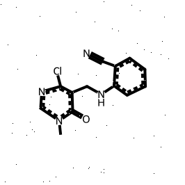 Cn1cnc(Cl)c(CNc2ccccc2C#N)c1=O